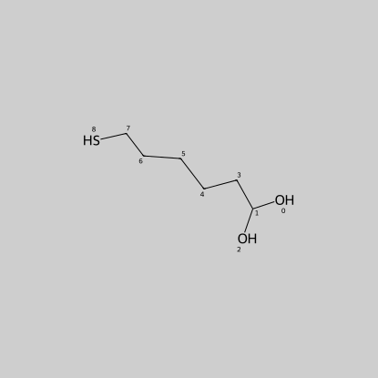 OC(O)CCCCCS